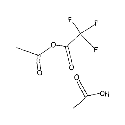 CC(=O)O.CC(=O)OC(=O)C(F)(F)F